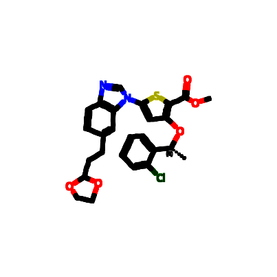 COC(=O)c1sc(-n2cnc3ccc(CCC4OCCO4)cc32)cc1O[C@H](C)c1ccccc1Cl